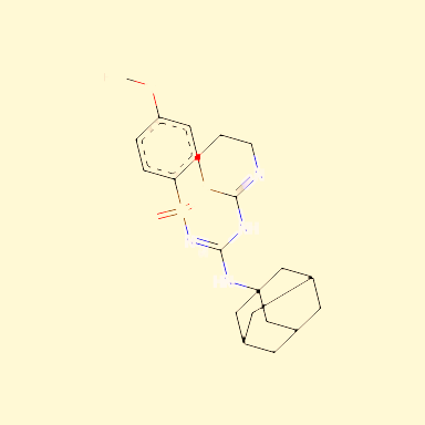 O=S(=O)(/N=C(\NC1=NCCCS1)NC12CC3CC(CC(C3)C1)C2)c1ccc(OC(F)(F)F)cc1